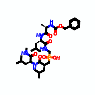 CNC(=O)[C@H](CC(C)C)NC(=O)[C@H](CC(C)C)CP(=O)(O)CNC(=O)[C@H](CC(C)C)NC(=O)[C@H](C)NC(=O)OCc1ccccc1